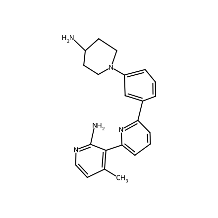 Cc1ccnc(N)c1-c1cccc(-c2cccc(N3CCC(N)CC3)c2)n1